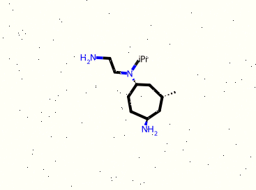 CC(C)N(CCN)[C@H]1CC[C@H](N)C[C@@H](C)C1